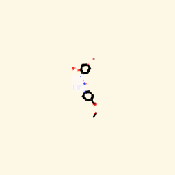 CCOC(=O)c1ccc(NC(=O)Nc2ccc(OC)cc2OC)cc1